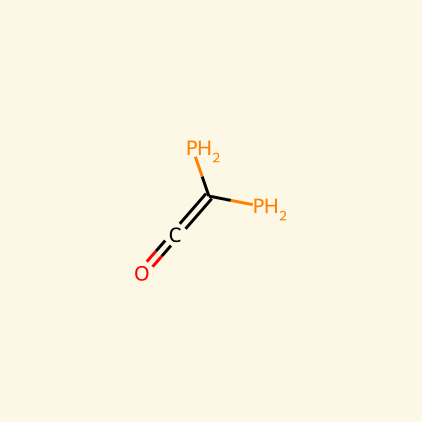 O=C=C(P)P